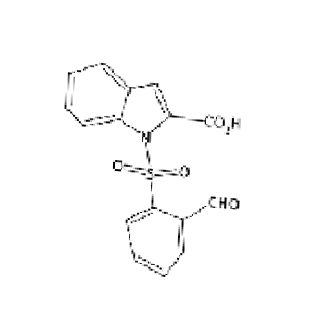 O=Cc1ccccc1S(=O)(=O)n1c(C(=O)O)cc2ccccc21